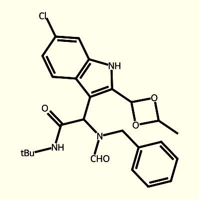 CC1OC(c2[nH]c3cc(Cl)ccc3c2C(C(=O)NC(C)(C)C)N(C=O)Cc2ccccc2)O1